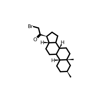 C[C@H]1CC[C@@H]2C3CC[C@H]4C(CC[C@@H]4C(=O)CBr)[C@@H]3CC[C@]2(C)C1